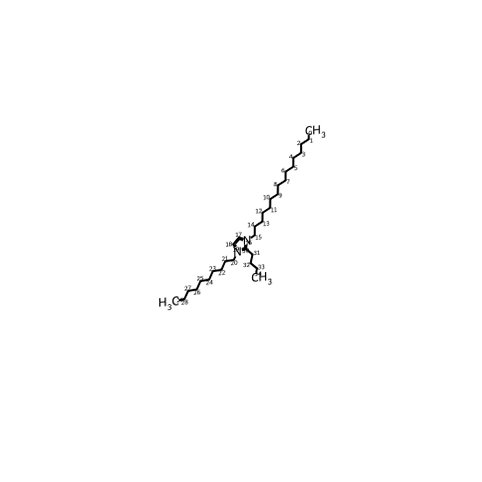 CCCCCCCCCCCCCCCCn1cc[n+](CCCCCCCCCC)c1CCCC